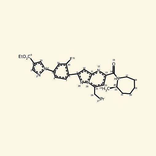 CCOC(=O)c1cnn(-c2ccc(-c3cc4nc(C(=O)N5CCCCC[C@H]5C)cc(CC(C)C)n4n3)c(F)c2)c1